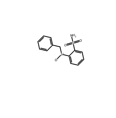 NS(=O)(=O)c1ccccc1[S+]([O-])Cc1ccccc1